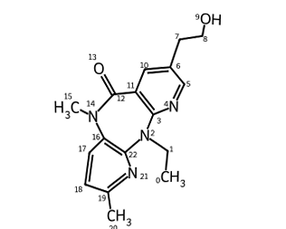 CCN1c2ncc(CCO)cc2C(=O)N(C)c2ccc(C)nc21